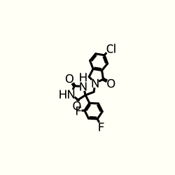 O=C1NC(=O)C(CN2Cc3ccc(Cl)cc3C2=O)(c2ccc(F)cc2F)N1